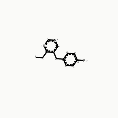 CCc1ncncc1Cc1ccc(F)cc1